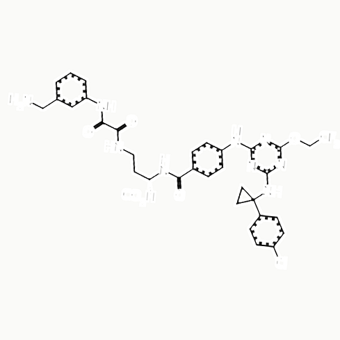 NCc1cccc(NC(=O)C(=O)NCC[C@H](NC(=O)c2ccc(Nc3nc(NC4(c5ccc(Cl)cc5)CC4)nc(OCC(F)(F)F)n3)cc2)C(=O)O)c1